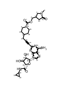 CN1CC(COC(=O)N2CCC(CC#Cc3nc(N)c4ncn([C@@H]5O[C@H](C(=O)NC6CC6)C(O)[C@@H]5O)c4n3)CC2)CC1=O